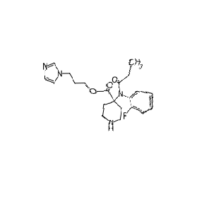 CCC(=O)N(c1ccccc1F)C1(C(=O)OCCCn2ccnc2)CCNCC1